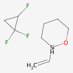 C=C[SiH]1CCCCO1.FC1CC1(F)F